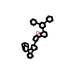 c1ccc(-c2cc(-c3ccccc3)cc(-c3cccc4c3oc3ccc(-c5ccc6c(c5)C5(c7ccccc7-6)C6CC7CC(C6)CC5C7)cc34)c2)cc1